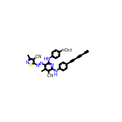 C#CC#CC#Cc1ccc(Nc2nc(Nc3ccc(CCCCCCCC)cc3)c(N=Nc3snc(C)c3C#N)c(C)c2C#N)cc1